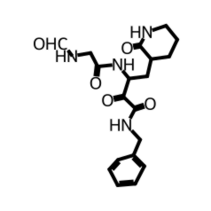 O=CNCC(=O)NC(CC1CCCNC1=O)C(=O)C(=O)NCc1ccccc1